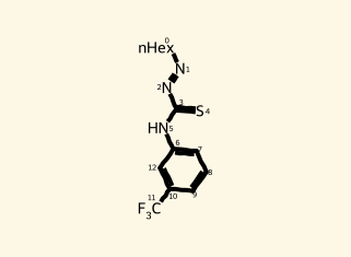 CCCCCCN=NC(=S)Nc1cccc(C(F)(F)F)c1